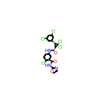 O=C(Nc1ncco1)c1cc(NC(=O)[C@@H]2[C@@H](c3cc(Cl)cc(Cl)c3)C2(Cl)Cl)ccc1Cl